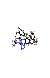 [2H]C([2H])([2H])N1CCC2C(=C)C=CC=C2C1c1n[nH]c2cc([N+]#[C-])c(-c3c(F)cccc3OC(F)F)cc12